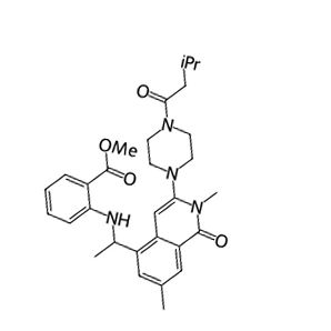 COC(=O)c1ccccc1NC(C)c1cc(C)cc2c(=O)n(C)c(N3CCN(C(=O)CC(C)C)CC3)cc12